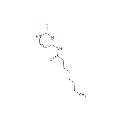 CCCCCCCC(=O)Nc1cc[nH]c(=O)n1